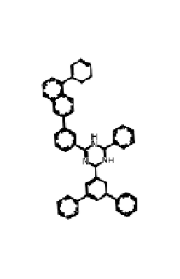 C1=CCCC(c2cccc3cc(-c4cccc(C5=NC(C6=CC(c7ccccc7)=CC(c7ccccc7)C6)NC(c6ccccc6)N5)c4)ccc23)=C1